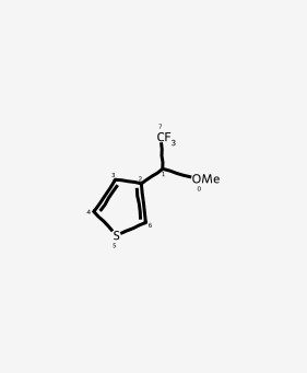 COC(c1ccsc1)C(F)(F)F